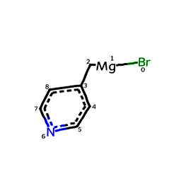 [Br][Mg][CH2]c1ccncc1